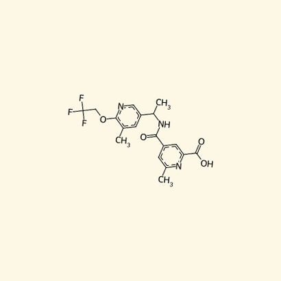 Cc1cc(C(=O)NC(C)c2cnc(OCC(F)(F)F)c(C)c2)cc(C(=O)O)n1